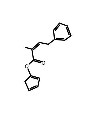 CC(=CCc1ccccc1)C(=O)OC1=CC=CC1